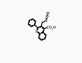 [N-]=[N+]=NCc1c(-c2ccccc2)nc2ccccc2c1C(=O)O